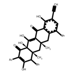 C#Cc1cc(C(C)C)c2c(c1O)C(=O)C1=C(O)[C@@]3(O)C(=O)C(C(C)=O)=C(O)C(C(C)C)[C@@]3(C)C[C@@]1(C)C2